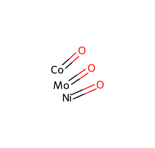 [O]=[Co].[O]=[Mo].[O]=[Ni]